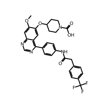 COc1cc2ncnc(-c3ccc(NC(=O)Cc4ccc(C(F)(F)F)cc4)cc3)c2cc1OC1CCN(C(=O)O)CC1